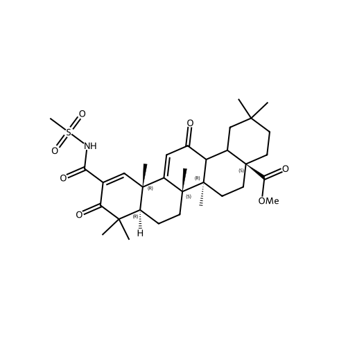 COC(=O)[C@]12CCC(C)(C)CC1C1C(=O)C=C3[C@@]4(C)C=C(C(=O)NS(C)(=O)=O)C(=O)C(C)(C)[C@@H]4CC[C@@]3(C)[C@]1(C)CC2